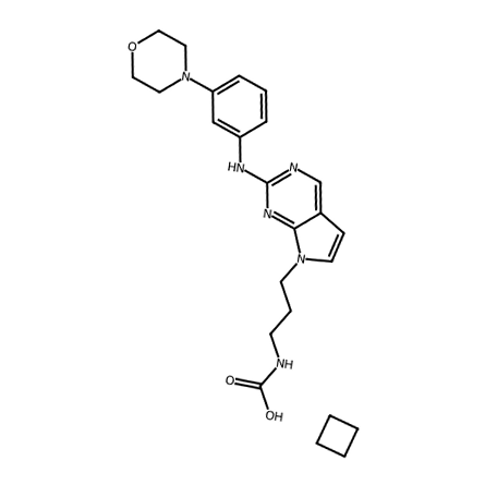 C1CCC1.O=C(O)NCCCn1ccc2cnc(Nc3cccc(N4CCOCC4)c3)nc21